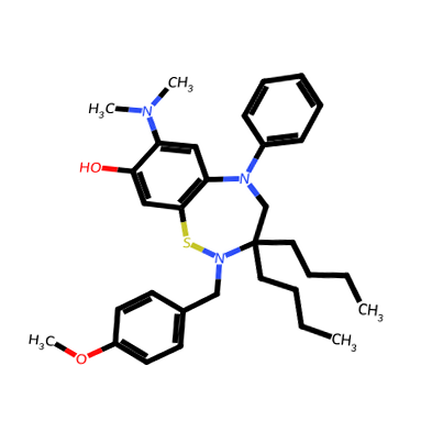 CCCCC1(CCCC)CN(c2ccccc2)c2cc(N(C)C)c(O)cc2SN1Cc1ccc(OC)cc1